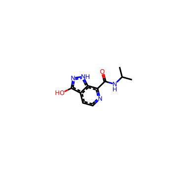 CC(C)NC(=O)c1nccc2c(O)n[nH]c12